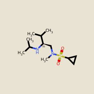 CC(C)N[C@H](CN(C)S(=O)(=O)C1CC1)C(C)C